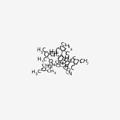 Cc1cc(C)c(-c2ccc3c(c2)c2cc(-c4c(C)cc(C)cc4C)ccc2n3-c2ccc(-c3cccc(C#N)c3)c(-n3c4ccc(-c5c(C)cc(C)cc5C)cc4c4cc(-c5c(C)cc(C)cc5C)ccc43)c2C(F)(F)F)c(C)c1